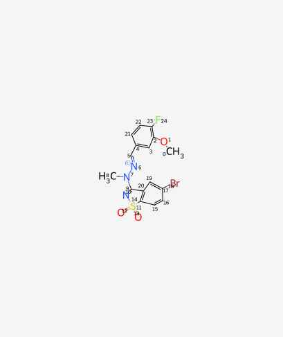 COc1cc(/C=N/N(C)C2=NS(=O)(=O)c3ccc(Br)cc32)ccc1F